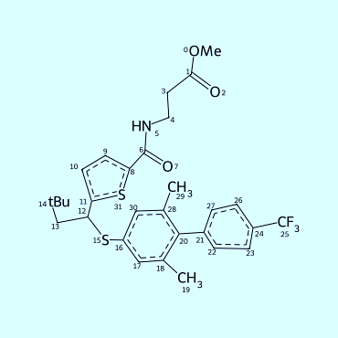 COC(=O)CCNC(=O)c1ccc(C(CC(C)(C)C)Sc2cc(C)c(-c3ccc(C(F)(F)F)cc3)c(C)c2)s1